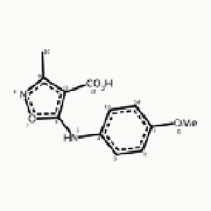 COc1ccc(Nc2onc(C)c2C(=O)O)cc1